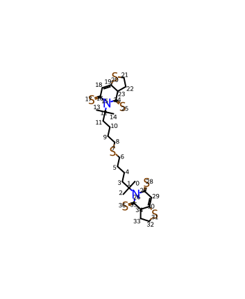 CC(C)(CCCCSCCCCC(C)(C)N1C(=S)C=C2SCCC2C1=S)N1C(=S)C=C2SCCC2C1=S